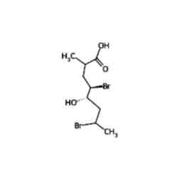 CC(Br)C[C@H](O)[C@H](Br)CC(C)C(=O)O